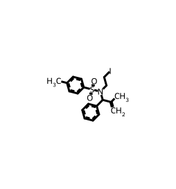 C=C(C)C(c1ccccc1)N(CCI)S(=O)(=O)c1ccc(C)cc1